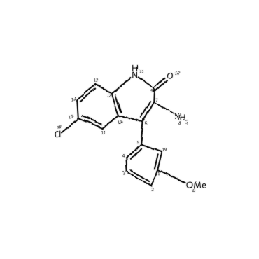 COc1cccc(-c2c(N)c(=O)[nH]c3ccc(Cl)cc23)c1